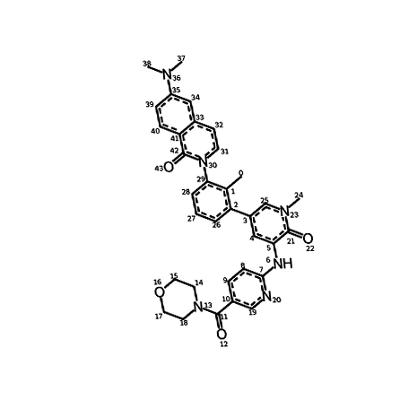 Cc1c(-c2cc(Nc3ccc(C(=O)N4CCOCC4)cn3)c(=O)n(C)c2)cccc1-n1ccc2cc(N(C)C)ccc2c1=O